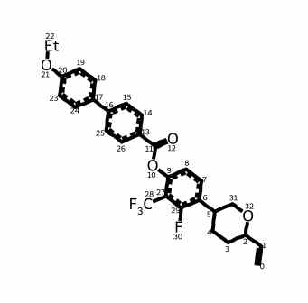 C=CC1CCC(c2ccc(OC(=O)c3ccc(-c4ccc(OCC)cc4)cc3)c(C(F)(F)F)c2F)CO1